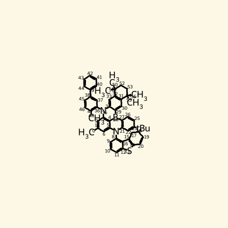 Cc1cc2c3c(c1)N(c1cccc4sc5c(c14)CCC=C5)c1cc(C(C)(C)C)ccc1B3c1cc3c(cc1N2c1cc(-c2ccccc2)ccc1C)C(C)(C)CCC3(C)C